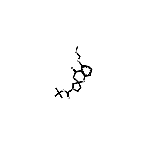 COCOc1cccc2c1C(=O)CC1(CCN(C(=O)OC(C)(C)C)C1)O2